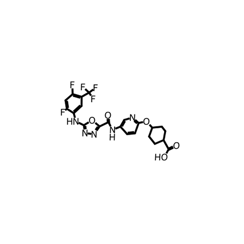 O=C(Nc1ccc(OC2CCC(C(=O)O)CC2)nc1)c1nnc(Nc2cc(C(F)(F)F)c(F)cc2F)o1